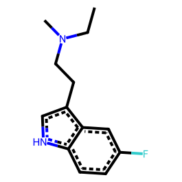 CCN(C)CCc1c[nH]c2ccc(F)cc12